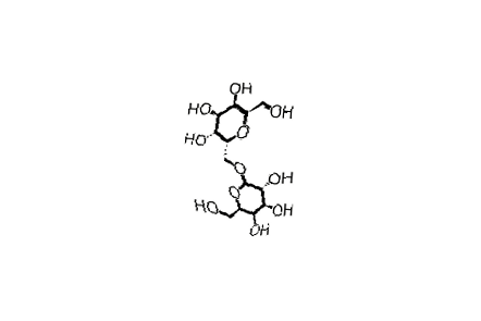 OC[C@H]1O[C@H](COC2O[C@H](CO)[C@H](O)[C@H](O)[C@H]2O)[C@H](O)[C@@H](O)[C@H]1O